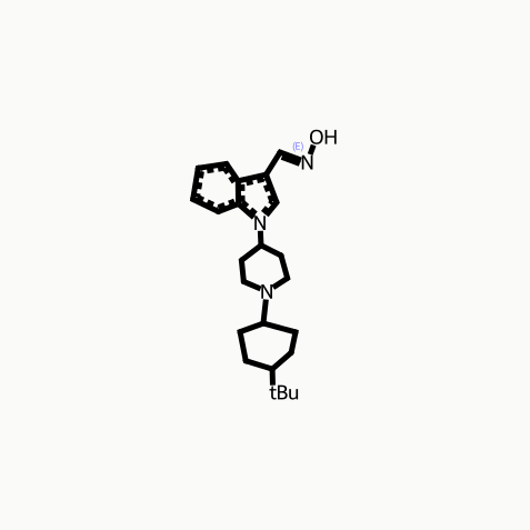 CC(C)(C)C1CCC(N2CCC(n3cc(/C=N/O)c4ccccc43)CC2)CC1